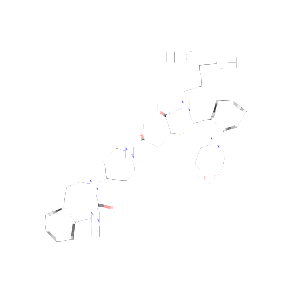 CC(C)CCN1C(=O)C(CC(=O)N2CCC(N3CCc4ccccc4NC3=O)CC2)SC1c1ccccc1N1CCOCC1